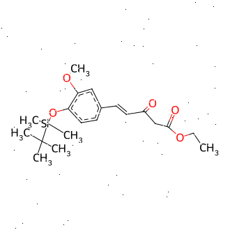 CCOC(=O)CC(=O)C=Cc1ccc(O[Si](C)(C)C(C)(C)C)c(OC)c1